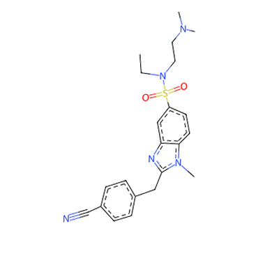 CCN(CCN(C)C)S(=O)(=O)c1ccc2c(c1)nc(Cc1ccc(C#N)cc1)n2C